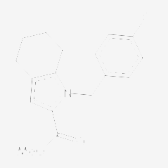 COC(=O)c1cc2c(n1Cc1ccc(Cl)cc1)CCCC2